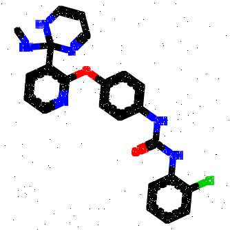 CNC1(c2cccnc2Oc2ccc(NC(=O)Nc3ccccc3Cl)cc2)N=CC=CN1